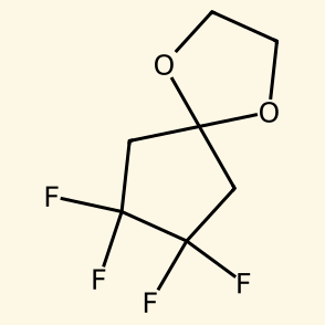 FC1(F)CC2(CC1(F)F)OCCO2